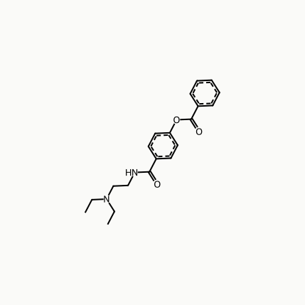 CCN(CC)CCNC(=O)c1ccc(OC(=O)c2ccccc2)cc1